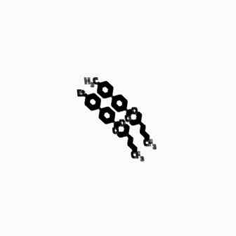 CC[C@H]1CC[C@H](C2CCC([C@H]3OC[C@H](CCCC(F)(F)F)CO3)CC2)CC1.C[C@H]1CC[C@H](C2CCC([C@H]3OC[C@H](CCCC(F)(F)F)CO3)CC2)CC1